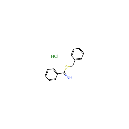 Cl.N=C(SCc1ccccc1)c1ccccc1